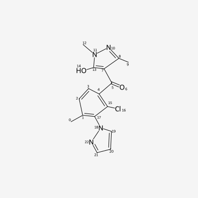 Cc1ccc(C(=O)c2c(C)nn(C)c2O)c(Cl)c1-n1cccn1